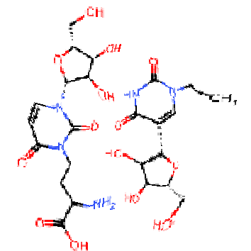 CCn1cc([C@@H]2O[C@H](CO)[C@@H](O)[C@H]2O)c(=O)[nH]c1=O.NC(CCn1c(=O)ccn([C@@H]2O[C@H](CO)[C@@H](O)[C@H]2O)c1=O)C(=O)O